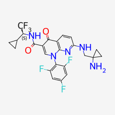 NC1(CNc2ccc3c(=O)c(C(=O)N[C@@H](C4CC4)C(F)(F)F)cn(-c4c(F)cc(F)cc4F)c3n2)CC1